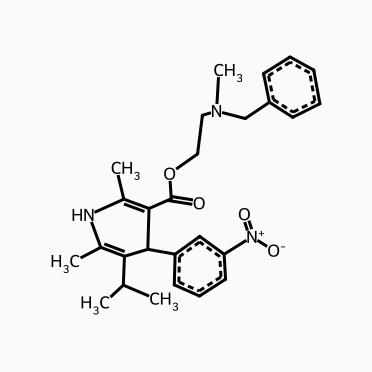 CC1=C(C(=O)OCCN(C)Cc2ccccc2)C(c2cccc([N+](=O)[O-])c2)C(C(C)C)=C(C)N1